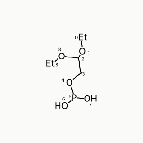 CCOC(COP(O)O)OCC